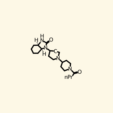 CCCC(=O)N1CCC(N2CCC(N3C(=O)N[C@@H]4CCCC[C@@H]43)CC2)CC1